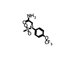 CS(=O)(=O)N(CC(N)=O)c1ccc(OC(F)(F)F)cc1